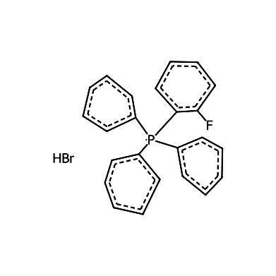 Br.Fc1ccccc1[P](c1ccccc1)(c1ccccc1)c1ccccc1